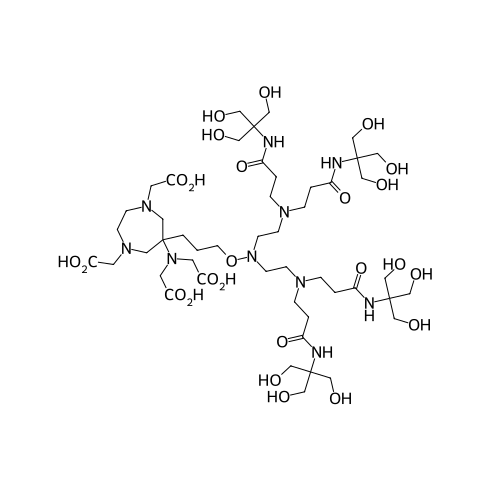 O=C(O)CN1CCN(CC(=O)O)CC(CCCON(CCN(CCC(=O)NC(CO)(CO)CO)CCC(=O)NC(CO)(CO)CO)CCN(CCC(=O)NC(CO)(CO)CO)CCC(=O)NC(CO)(CO)CO)(N(CC(=O)O)CC(=O)O)C1